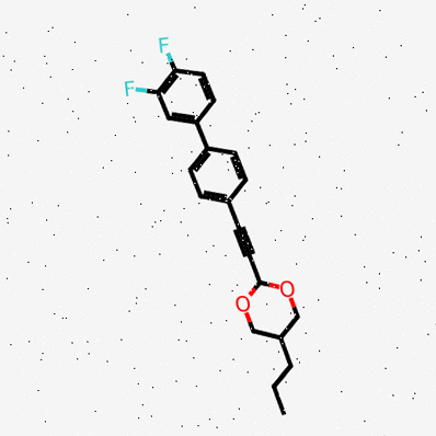 CCCC1COC(C#Cc2ccc(-c3ccc(F)c(F)c3)cc2)OC1